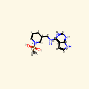 CCCCS(=O)(=O)N1CCCC(CNc2ncnc3[nH]ccc23)C1